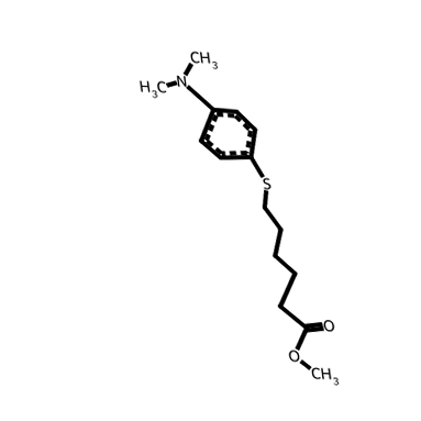 COC(=O)CCCCCSc1ccc(N(C)C)cc1